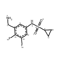 NCc1cc(NS(=O)(=O)C2CC2)cc(F)c1F